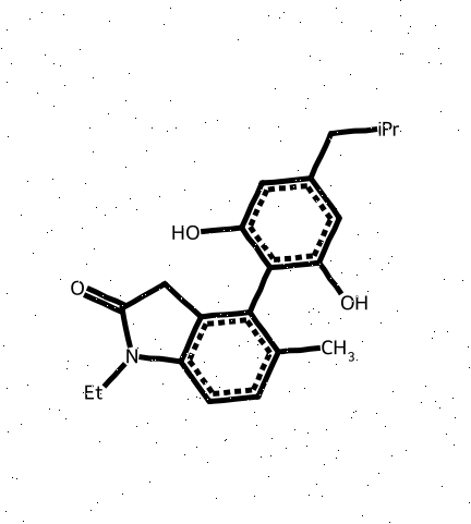 CCN1C(=O)Cc2c1ccc(C)c2-c1c(O)cc(CC(C)C)cc1O